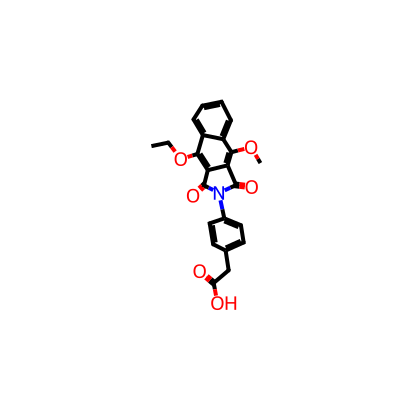 CCOc1c2c(c(OC)c3ccccc13)C(=O)N(c1ccc(CC(=O)O)cc1)C2=O